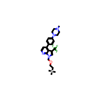 CN1CCN(c2ccc(-c3ccnc4c3c(C(F)(F)F)cn4COCC[Si](C)(C)C)cc2)CC1